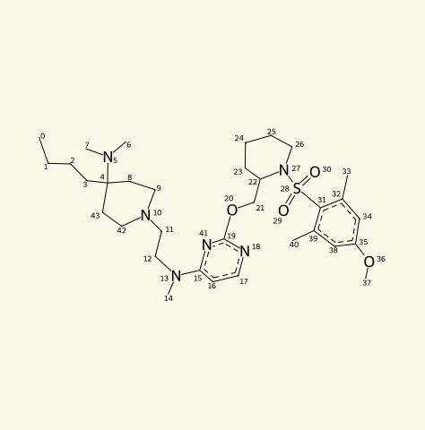 CCCCC1(N(C)C)CCN(CCN(C)c2ccnc(OCC3CCCCN3S(=O)(=O)c3c(C)cc(OC)cc3C)n2)CC1